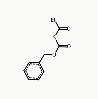 CCC(=O)SC(=O)OCc1ccccc1